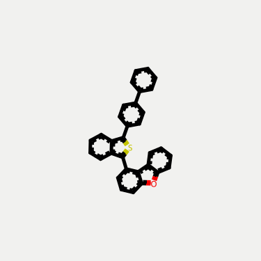 c1ccc(-c2ccc(-c3sc(-c4cccc5oc6ccccc6c45)c4ccccc34)cc2)cc1